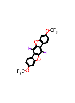 FC(F)(F)Oc1ccc2c(c1)oc1c(I)c3c(oc4cc(OC(F)(F)F)ccc43)c(I)c12